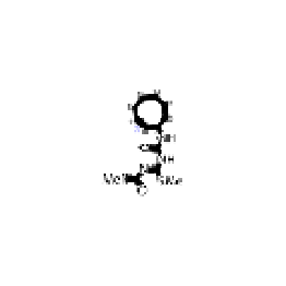 CNC(=O)N=C(NC(=O)NC1/C=C\CCCCC1)SC